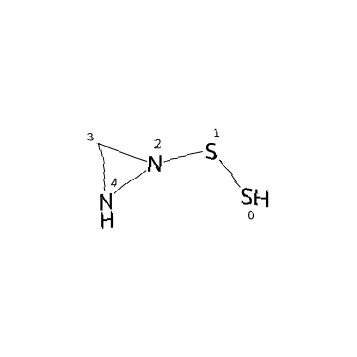 SSN1CN1